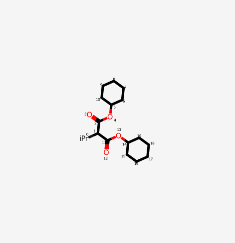 CC(C)C(C(=O)OC1CCCCC1)C(=O)OC1CCCCC1